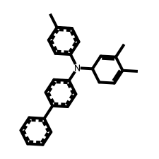 CC1=CCC(N(c2ccc(C)cc2)c2ccc(-c3ccccc3)cc2)C=C1C